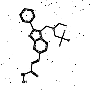 CCN(Cc1c(-c2ccccc2)nc2cc(C=CC(=O)NO)ccn12)CC(F)(F)F